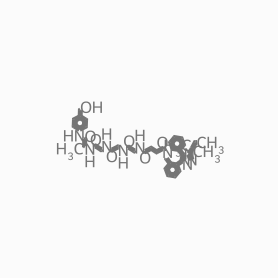 CCC(C)(C)n1nnc2c1-c1ccccc1N(C(=O)CCC(=O)NCC(=O)NCC(=O)NCC(=O)N[C@@H](C)C(=O)Nc1ccc(CO)cc1)Cc1ccccc1-2